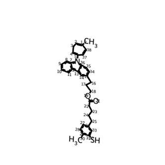 CC1=CCC=C(n2c3ccccc3c3cc(CCCOC(=O)CCCCc4ccc(C)c(S)c4)ccc32)C=C1